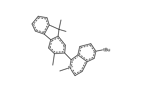 Cc1cc2c(cc1-c1c3ccc(C(C)(C)C)cc3cc[n+]1C)C(C)(C)c1ccccc1-2